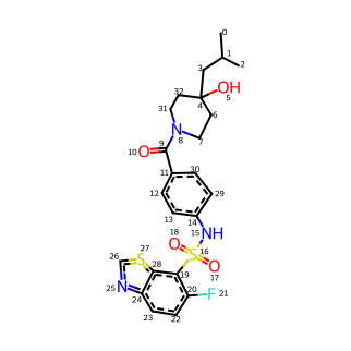 CC(C)CC1(O)CCN(C(=O)c2ccc(NS(=O)(=O)c3c(F)ccc4ncsc34)cc2)CC1